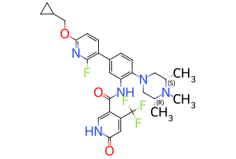 C[C@@H]1CN(c2ccc(-c3ccc(OCC4CC4)nc3F)cc2NC(=O)c2c[nH]c(=O)cc2C(F)(F)F)C[C@H](C)N1C